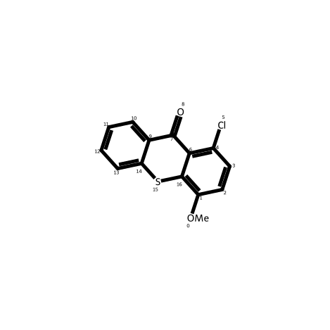 COc1ccc(Cl)c2c(=O)c3ccccc3sc12